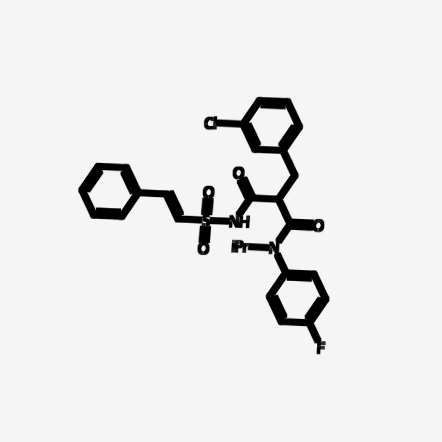 CC(C)N(C(=O)C(Cc1cccc(Cl)c1)C(=O)NS(=O)(=O)/C=C/c1ccccc1)c1ccc(F)cc1